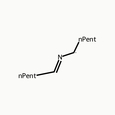 CCCCC[CH]N=CCCCCC